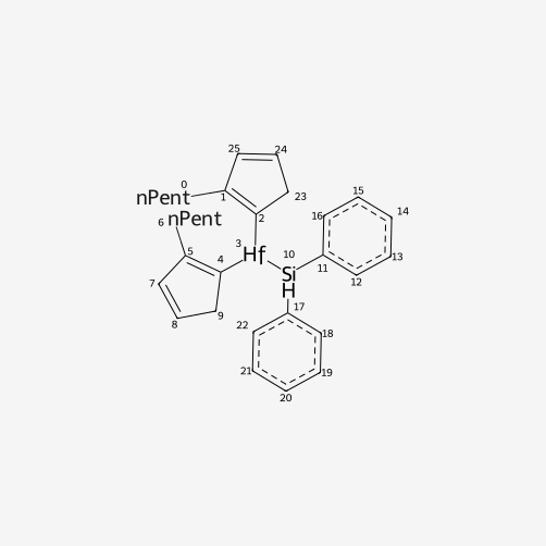 CCCCCC1=[C]([Hf]([C]2=C(CCCCC)C=CC2)[SiH](c2ccccc2)c2ccccc2)CC=C1